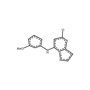 COc1cccc(Nc2cc(Cl)nc3ccnn23)c1